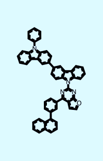 c1ccc(-n2c3ccccc3c3cc(-c4ccc5c(c4)c4ccccc4n5-c4nc(-c5cccc(-c6cccc7ccccc67)c5)c5ccoc5n4)ccc32)cc1